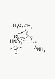 CC(C)c1cc(CCCCN)cc(S(=O)(=O)NC2CNC2)c1